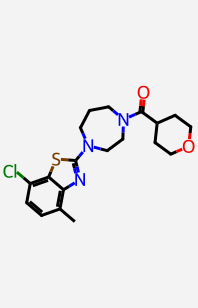 Cc1ccc(Cl)c2sc(N3CCCN(C(=O)C4CCOCC4)CC3)nc12